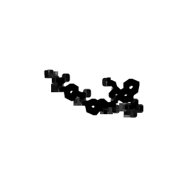 CC(C)(C)OC(=O)Nc1ccc(C(=O)Nc2ccc3[nH]c(C(=O)N4C[C@@H](CCl)c5c4cc(OP(=O)(O)O)c4ccccc54)cc3c2)cc1